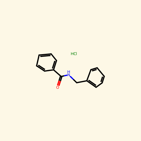 Cl.O=C(NCc1ccccc1)c1ccccc1